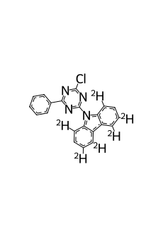 [2H]c1cc([2H])c2c(c1[2H])c1c([2H])c([2H])cc([2H])c1n2-c1nc(Cl)nc(-c2ccccc2)n1